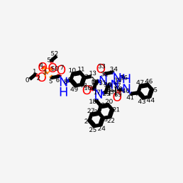 CCOP(=O)(CC(=O)Nc1ccc(C[C@H]2C(=O)N(Cc3cccc4ccccc34)C[C@H]3N2C(=O)CN(C)N3C(=O)NCc2ccccc2)cc1)OCC